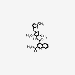 Cc1nn(Cc2ccn(C)n2)c(C)c1NC(=O)c1cc(C(N)=O)nc2ccccc12